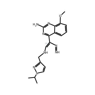 COc1cccc2c(/C(=C/NCc3ccn(C(C)C)n3)N=N)nc(N)nc12